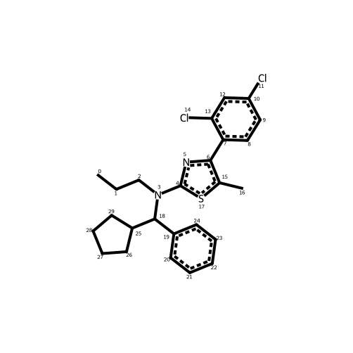 CCCN(c1nc(-c2ccc(Cl)cc2Cl)c(C)s1)C(c1ccccc1)C1CCCC1